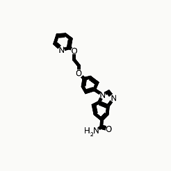 NC(=O)c1ccc2c(c1)ncn2-c1ccc(OCCOc2ccccn2)cc1